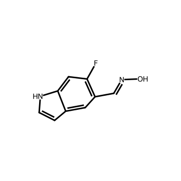 O/N=C/c1cc2cc[nH]c2cc1F